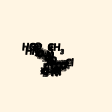 CSCc1nnc(C(Cc2ccccc2)NC(=O)C=Cc2cc(Cl)ccc2-n2cnnn2)cc1-c1ccc(NC(=O)O)cc1